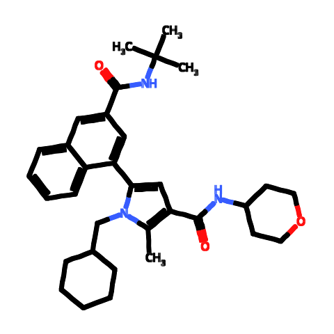 Cc1c(C(=O)NC2CCOCC2)cc(-c2cc(C(=O)NC(C)(C)C)cc3ccccc23)n1CC1CCCCC1